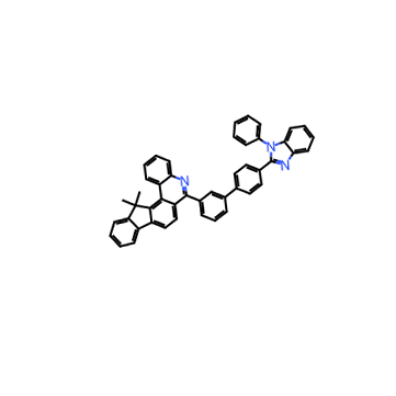 CC1(C)c2ccccc2-c2ccc3c(-c4cccc(-c5ccc(-c6nc7ccccc7n6-c6ccccc6)cc5)c4)nc4ccccc4c3c21